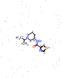 CC(C)N1CCC[C@@H](NC(=O)c2cscn2)C1